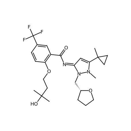 Cn1c(C2(C)CC2)cc(=NC(=O)c2cc(C(F)(F)F)ccc2OCCC(C)(C)O)n1C[C@H]1CCCO1